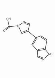 O=C(O)n1cc(-c2ccc3[nH]ncc3c2)cn1